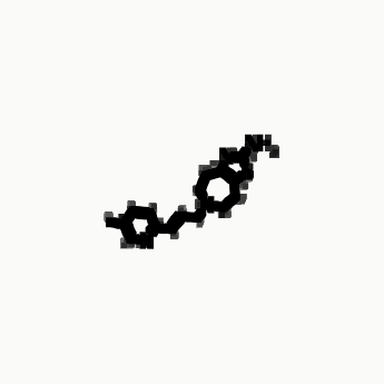 Cc1ccc(/C=C/CN2CCc3nc(N)sc3CC2)nc1